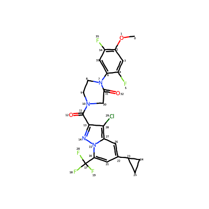 COc1cc(F)c(N2CCN(C(=O)c3nn4c(C(F)(F)F)cc(C5CC5)cc4c3Cl)CC2=O)cc1F